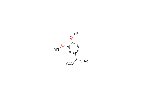 CCCOc1ccc(C(OC(C)=O)OC(C)=O)cc1OCCC